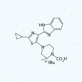 CC(C)(C)[C@]1(C)CN(c2sc(C3CC3)nc2-c2nc3ccccc3[nH]2)CCN1C(=O)O